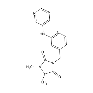 CC1C(=O)N(Cc2ccnc(Nc3cncnc3)c2)C(=O)N1C